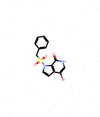 O=c1[nH]cc(Br)c2ccn(S(=O)(=O)Cc3ccccc3)c12